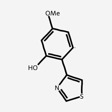 COc1c[c]c(-c2cscn2)c(O)c1